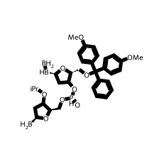 BB[C@H]1CC(O[PH](=O)OC[C@H]2O[C@@H](B)CC2OC(C)C)[C@@H](COC(c2ccccc2)(c2ccc(OC)cc2)c2ccc(OC)cc2)O1